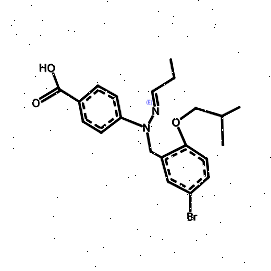 CC/C=N/N(Cc1cc(Br)ccc1OCC(C)C)c1ccc(C(=O)O)cc1